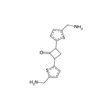 NCc1ccc(C2CC(c3ccc(CN)s3)C2=O)s1